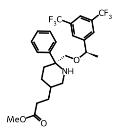 COC(=O)CCC1CC[C@@](CO[C@H](C)c2cc(C(F)(F)F)cc(C(F)(F)F)c2)(c2ccccc2)NC1